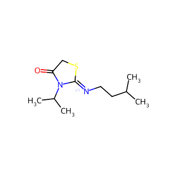 CC(C)CC/N=C1\SCC(=O)N1C(C)C